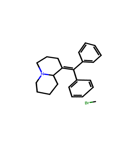 CBr.c1ccc(C(=C2CCCN3CCCCC23)c2ccccc2)cc1